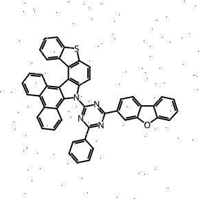 c1ccc(-c2nc(-c3ccc4c(c3)oc3ccccc34)nc(-n3c4ccc5sc6ccccc6c5c4c4c5ccccc5c5ccccc5c43)n2)cc1